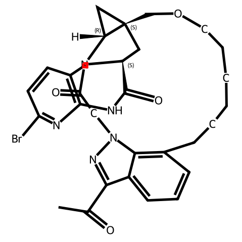 CC(=O)c1nn2c3c(cccc13)CCCCCCOC[C@@]13C[C@@H](C(=O)Nc4nc(Br)ccc4C)N(C(=O)C2)[C@@H]1C3